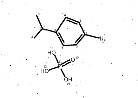 CC(C)c1cc[c]([Na])cc1.O=P(O)(O)O